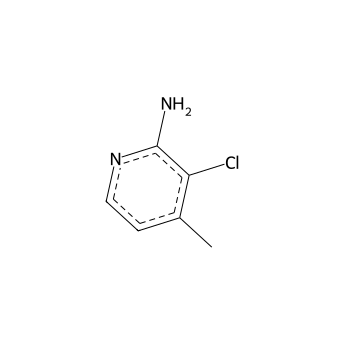 Cc1ccnc(N)c1Cl